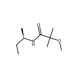 CC[C@@H](C)NC(=O)C(C)(C)OC